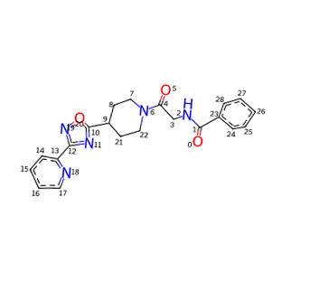 O=C(NCC(=O)N1CCC(c2nc(-c3ccccn3)no2)CC1)c1ccccc1